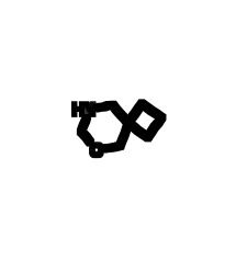 C1CC2(C1)CNCOC2